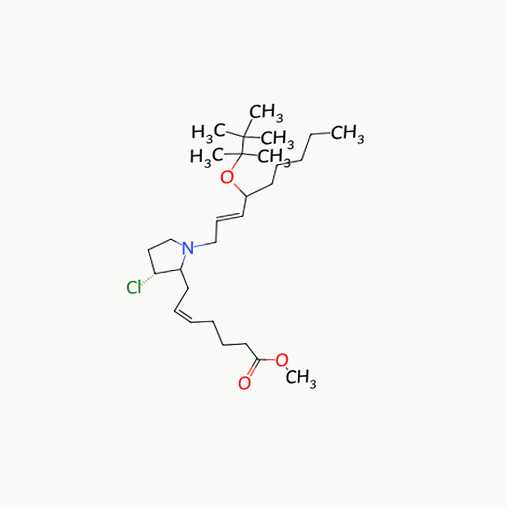 CCCCCC(/C=C/CN1CC[C@@H](Cl)C1C/C=C\CCCC(=O)OC)OC(C)(C)C(C)(C)C